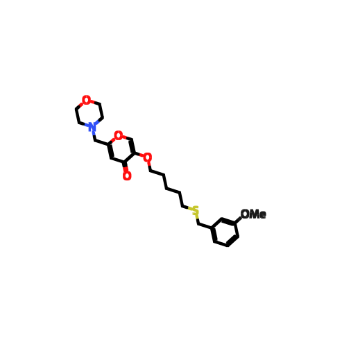 COc1cccc(CSCCCCCOc2coc(CN3CCOCC3)cc2=O)c1